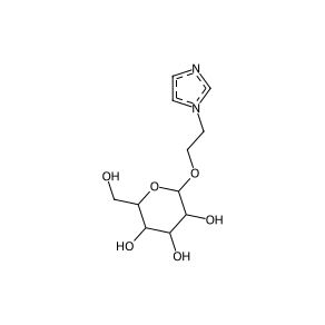 OCC1OC(OCCn2ccnc2)C(O)C(O)C1O